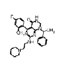 Cc1cc(F)ccc1-c1nc(NCCN2CCCCC2)nc2c1C(=O)NCN2[C@@H](C)c1ccccc1